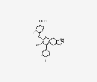 CC(C)c1c(Oc2ccc(C(=O)O)cc2F)nc2cc3[nH]ncc3cc2c1-c1ccc(F)cc1